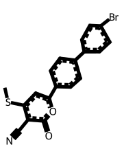 CSc1cc(-c2ccc(-c3ccc(Br)cc3)cc2)oc(=O)c1C#N